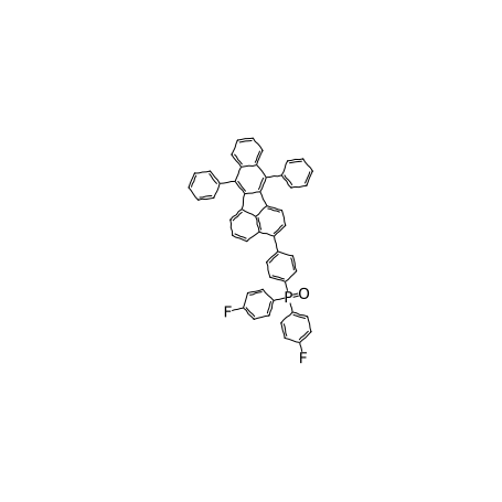 O=P(c1ccc(F)cc1)(c1ccc(F)cc1)c1ccc(-c2ccc3c4c(cccc24)-c2c-3c(-c3ccccc3)c3ccccc3c2-c2ccccc2)cc1